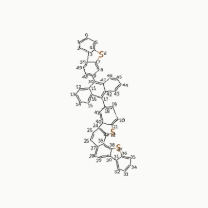 c1ccc2c(c1)sc1cc(-c3c4ccccc4c(-c4ccc5sc6c(ccc7ccc8c9ccccc9sc8c76)c5c4)c4ccccc34)ccc12